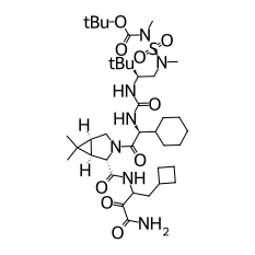 CN(C[C@@H](NC(=O)N[C@H](C(=O)N1C[C@H]2[C@@H]([C@H]1C(=O)NC(CC1CCC1)C(=O)C(N)=O)C2(C)C)C1CCCCC1)C(C)(C)C)S(=O)(=O)N(C)C(=O)OC(C)(C)C